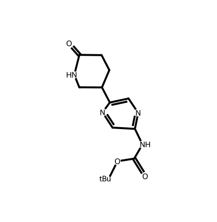 CC(C)(C)OC(=O)Nc1cnc(C2CCC(=O)NC2)cn1